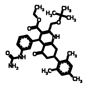 CCOC(=O)C1=C(COC(C)(C)C)NC2=C(C(=O)CC(c3c(C)cc(C)cc3C)C2)C1c1cccc(NC(N)=O)c1